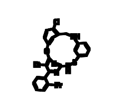 CCc1c2nc(nc1-c1ccccc1C(C)C)NSc1cccc(c1)NCc1cc(ccc1Cl)O2